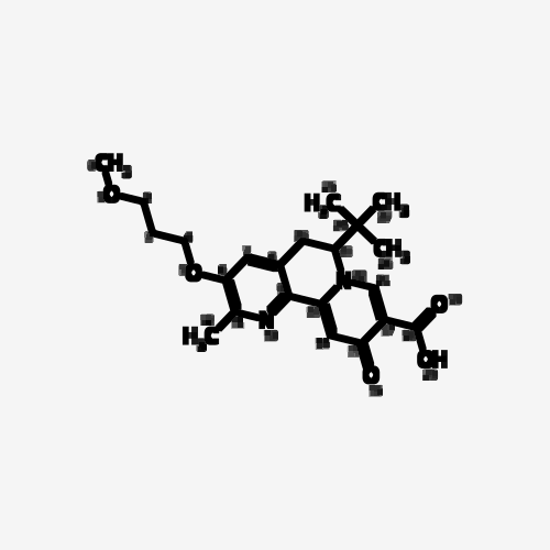 COCCCOc1cc2c(nc1C)-c1cc(=O)c(C(=O)O)cn1C(C(C)(C)C)C2